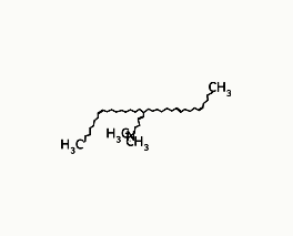 CCCCC/C=C\CCC/C=C/CCCCCCC(/C=C/CCCN(C)C)CCCCCCCC/C=C\CCCCCCCC